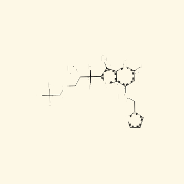 N[C@@H](COCC(F)(F)F)C(F)(F)c1oc2c(NCc3cccs3)cc(Cl)nc2c1Br